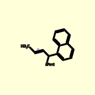 CCCCCC(/C=C/C(=O)O)c1cccc2ccccc12